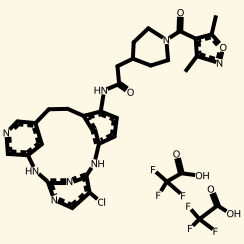 Cc1noc(C)c1C(=O)N1CCC(CC(=O)Nc2ccc3cc2CCc2cncc(c2)Nc2ncc(Cl)c(n2)N3)CC1.O=C(O)C(F)(F)F.O=C(O)C(F)(F)F